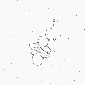 C[C@]12N3CCCN1CCN1C(=O)C(CCO)CN(CC3)[C@]12C